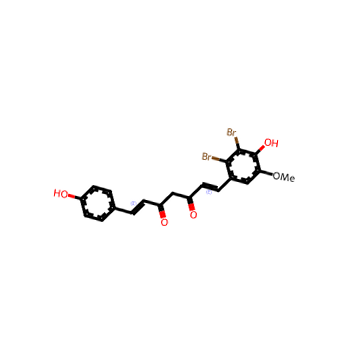 COc1cc(/C=C/C(=O)CC(=O)/C=C/c2ccc(O)cc2)c(Br)c(Br)c1O